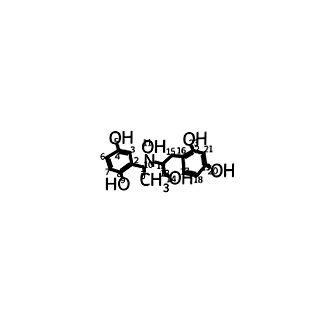 CC(c1cc(O)ccc1O)N(O)C(CO)Cc1ccc(O)cc1O